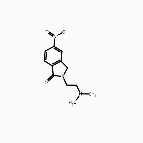 CN(C)CCN1Cc2cc([N+](=O)[O-])ccc2C1=O